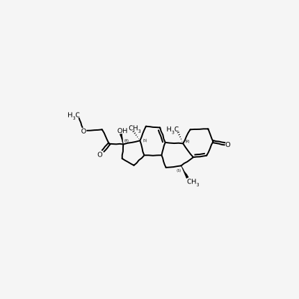 COCC(=O)[C@@]1(O)CCC2C3C[C@H](C)C4=CC(=O)CC[C@]4(C)C3=CC[C@@]21C